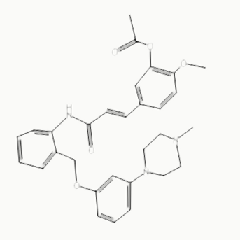 COc1ccc(/C=C/C(=O)Nc2ccccc2COc2cccc(N3CCN(C)CC3)c2)cc1OC(C)=O